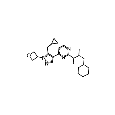 CC(CC1CCCCC1)C(C)c1nccc(-c2cnn(C3COC3)c2CC2CC2)n1